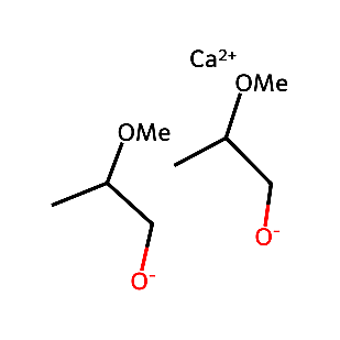 COC(C)C[O-].COC(C)C[O-].[Ca+2]